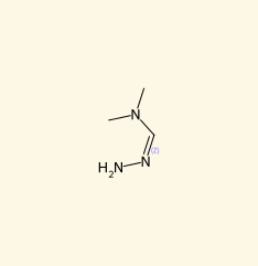 CN(C)/C=N\N